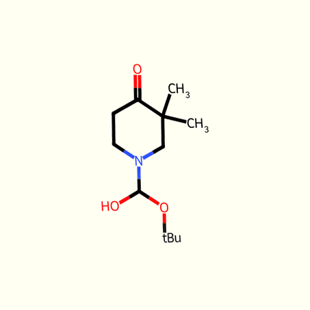 CC(C)(C)OC(O)N1CCC(=O)C(C)(C)C1